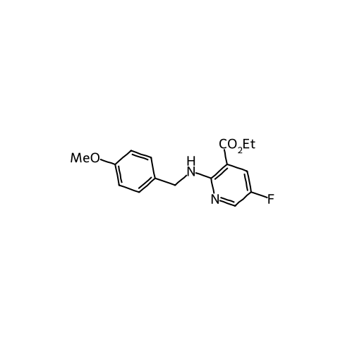 CCOC(=O)c1cc(F)cnc1NCc1ccc(OC)cc1